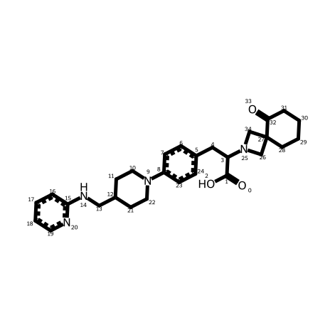 O=C(O)C(Cc1ccc(N2CCC(CNc3ccccn3)CC2)cc1)N1CC2(CCCCC2=O)C1